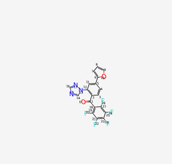 O=C(c1ccc(-c2ccco2)cc1-n1cncn1)c1c(F)c(F)c(F)c(F)c1F